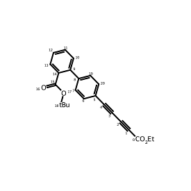 CCOC(=O)C#CC#Cc1ccc(-c2ccccc2C(=O)OC(C)(C)C)cc1